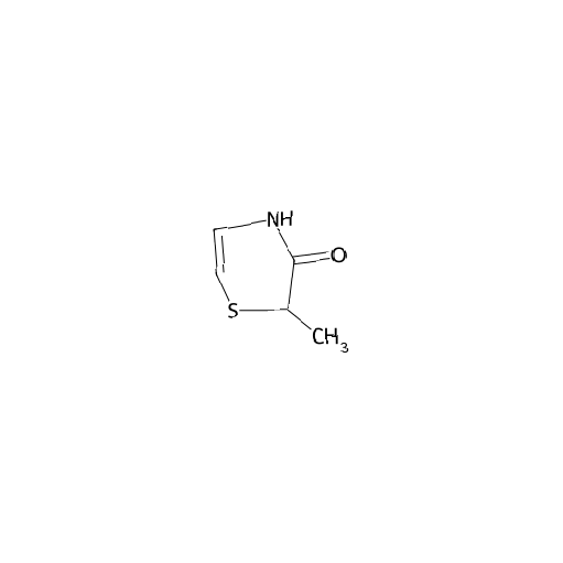 CC1SC=CNC1=O